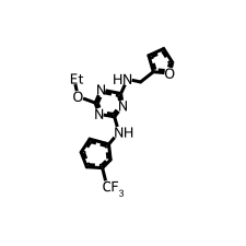 CCOc1nc(NCc2ccco2)nc(Nc2cccc(C(F)(F)F)c2)n1